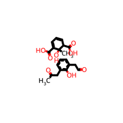 CC(=O)Cc1cccc(CC=O)c1O.CC1(O)C(C(=O)O)=CC=CC1C(=O)O